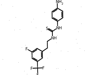 Nc1ccc(NC(=S)NCCc2cc(F)cc(C(F)(F)F)c2)cc1